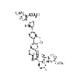 COC[C@H]1C[C@@H](c2ncc(-c3ccc4c(c3)COc3cc5c(ccc6nc(C7=CC=C(C)CN7C(=O)[C@@H](NC(=O)OC)C(C)C)[nH]c65)cc3-4)[nH]2)N(C(=O)O)C1